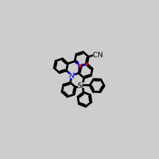 N#Cc1ccc(-c2ccccc2N2c3ccccc3[Si](c3ccccc3)(c3ccccc3)c3ccccc32)nc1